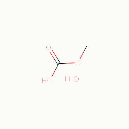 COC(=O)O.O